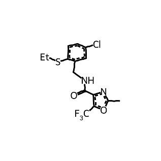 CCSc1ccc(Cl)cc1CNC(=O)c1nc(C)oc1C(F)(F)F